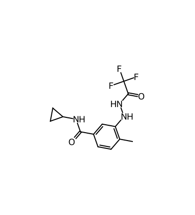 Cc1ccc(C(=O)NC2CC2)cc1NNC(=O)C(F)(F)F